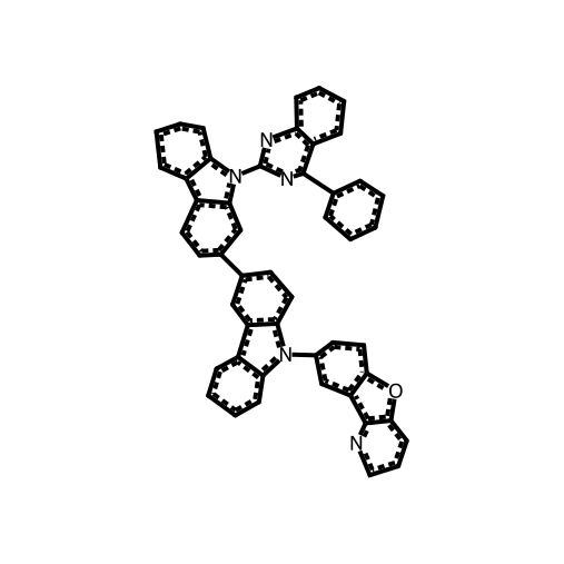 c1ccc(-c2nc(-n3c4ccccc4c4ccc(-c5ccc6c(c5)c5ccccc5n6-c5ccc6oc7cccnc7c6c5)cc43)nc3ccccc23)cc1